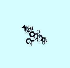 CN1CCCCC1Cn1c(=O)n(Cc2cnn(C)c2)c(=O)c2cc(S(=O)(=O)NC3(C)CC3)ccc21